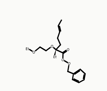 CC=CCC[C@@](CC)(OCCOCC)C(=O)OOCc1ccccc1